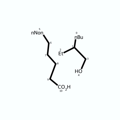 CCCCC(CC)CO.CCCCCCCCCCCCCC(=O)O